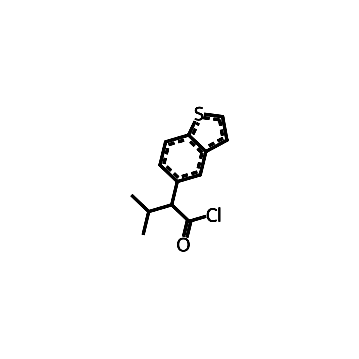 CC(C)C(C(=O)Cl)c1ccc2sccc2c1